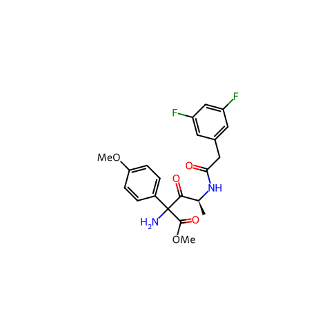 COC(=O)C(N)(C(=O)[C@H](C)NC(=O)Cc1cc(F)cc(F)c1)c1ccc(OC)cc1